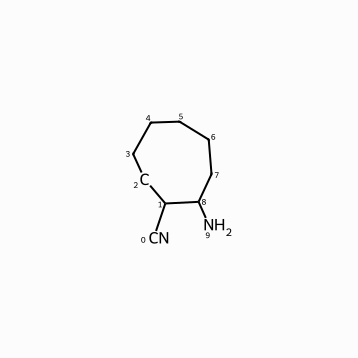 N#CC1CCCCCCC1N